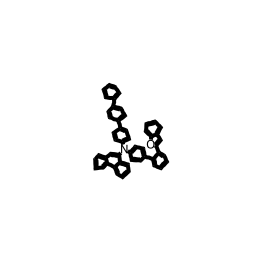 c1ccc(-c2ccc(-c3ccc(N(c4ccc(-c5ccccc5-c5cc6ccccc6o5)cc4)c4cc5ccccc5c5ccccc45)cc3)cc2)cc1